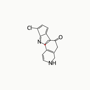 O=C1CC2=C(C=CNC2)C23CCC12C1=CC=C(Cl)C1=N3